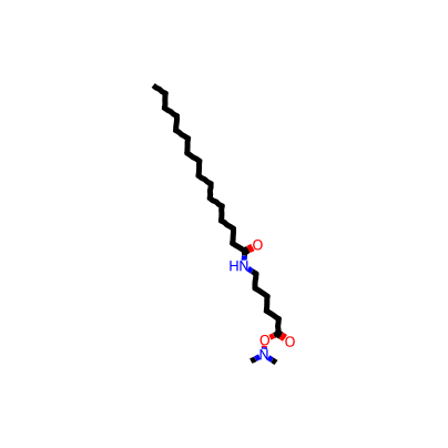 CCCCCCCCCCCCCCCC(=O)NCCCCCC(=O)ON(C)C